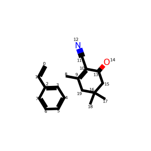 C=Cc1ccccc1.CC1=C(C#N)C(=O)CC(C)(C)C1